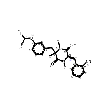 CN1C(=O)C(C)(Cc2cccc(OC(F)F)c2)N(C)C(=O)/C1=C/c1ccccc1C#N